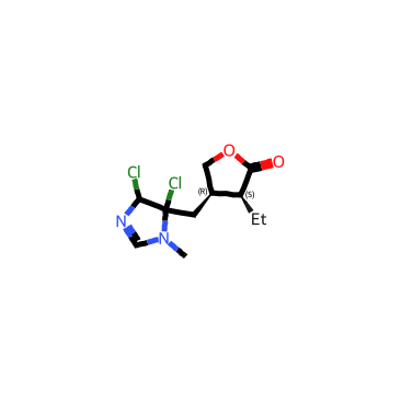 CC[C@@H]1C(=O)OC[C@@H]1CC1(Cl)C(Cl)N=CN1C